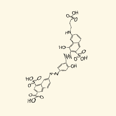 O=S(=O)(O)CCNc1ccc2cc(S(=O)(=O)O)c(N=Nc3ccc(N=Nc4ccc5cc(S(=O)(=O)O)cc(S(=O)(=O)O)c5c4)cc3O)c(O)c2c1